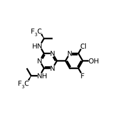 C[C@@H](Nc1nc(N[C@H](C)C(F)(F)F)nc(-c2cc(F)c(O)c(Cl)n2)n1)C(F)(F)F